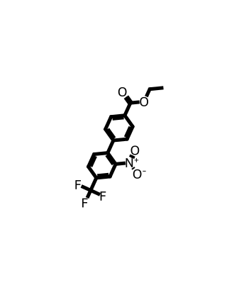 CCOC(=O)c1ccc(-c2ccc(C(F)(F)F)cc2[N+](=O)[O-])cc1